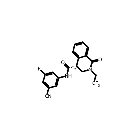 N#Cc1cc(F)cc(NC(=O)[C@H]2CN(CC(F)(F)F)C(=O)c3ccccc32)c1